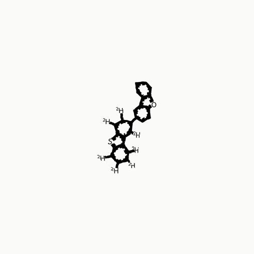 [2H]c1c([2H])c([2H])c2c(sc3c([2H])c([2H])c(-c4ccc5oc6ccccc6c5c4)c([2H])c32)c1[2H]